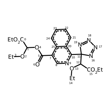 CCOC(=O)C(OCC)OC(=O)c1cnc(C2(C(OCC)C(=O)OCC)N=NN=N2)c2ccccc12